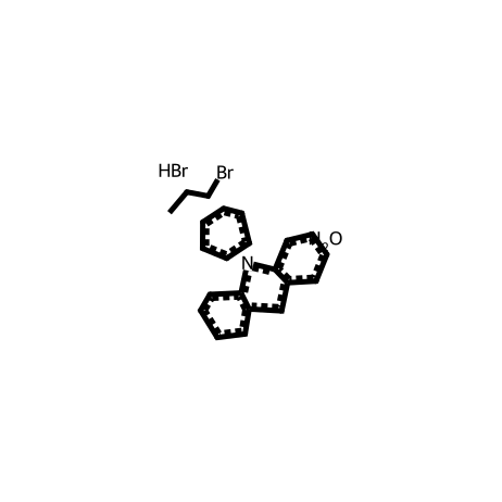 Br.CCCBr.O.c1ccc2nc3ccccc3cc2c1.c1ccccc1